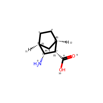 N[C@@H]1[C@H]2CC[C@H](C2)[C@@H]1C(=O)O